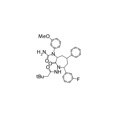 COc1cccc(N(C(N)=O)C2CC(c3ccccc3)CC(c3cccc(F)c3)N(NC(=O)CC(C)(C)C)C2=O)c1